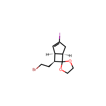 BrCC[C@H]1[C@H]2C=C(I)C[C@H]2C12OCCO2